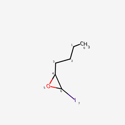 CCCCC1OC1I